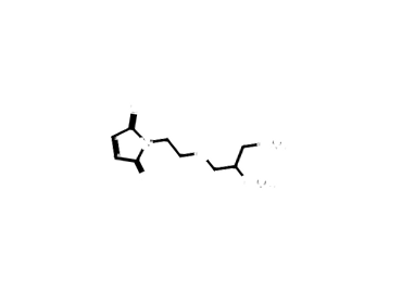 COCC(COCCN1C(=O)C=CC1=O)OC